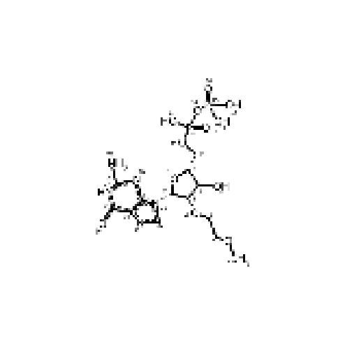 COCCO[C@H]1C(O)[C@@H](COP(=O)(O)OP(=O)(O)O)O[C@H]1n1cnc2c(=O)[nH]c(N)nc21